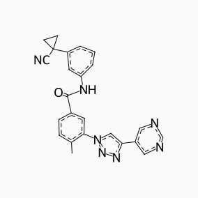 Cc1ccc(C(=O)Nc2cccc(C3(C#N)CC3)c2)cc1-n1cc(-c2cncnc2)nn1